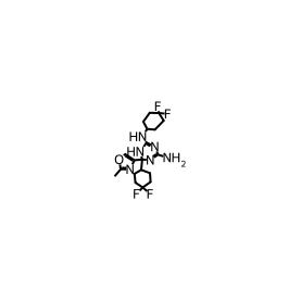 Cc1nc(C2(C3CCC(F)(F)CC3)N=C(N)N=C(NC3CCC(F)(F)CC3)N2)co1